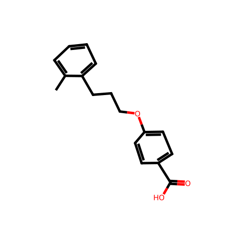 Cc1ccccc1CCCOc1ccc(C(=O)O)cc1